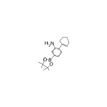 CC1(C)OB(c2ccc(C3=CCCCC3)c(N)c2)OC1(C)C